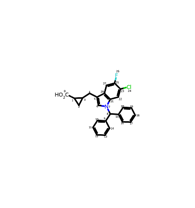 O=C(O)C1CC1Cc1cn(C(c2ccccc2)c2ccccc2)c2cc(Cl)c(F)cc12